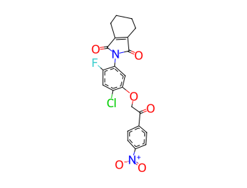 O=C(COc1cc(N2C(=O)C3=C(CCCC3)C2=O)c(F)cc1Cl)c1ccc([N+](=O)[O-])cc1